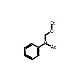 CCOCN(C(C)=O)c1ccccc1